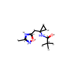 Cc1noc(CC2(NC(=O)C(C)(C)C)CC2)n1